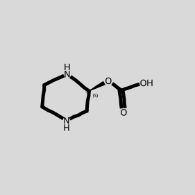 O=C(O)O[C@H]1CNCCN1